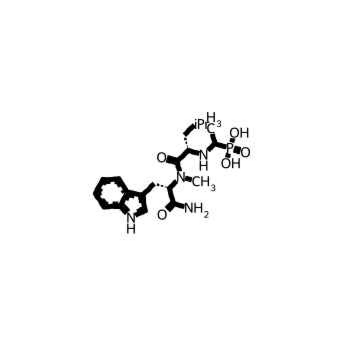 CC(C)C[C@H](NC(C)P(=O)(O)O)C(=O)N(C)[C@@H](Cc1c[nH]c2ccccc12)C(N)=O